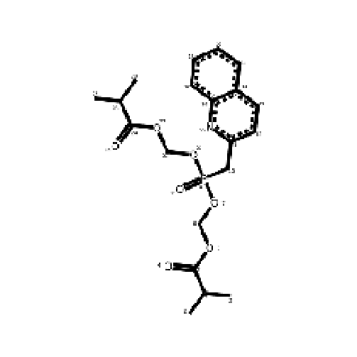 CC(C)C(=O)OCOP(=O)(Cc1ccc2ccccc2n1)OCOC(=O)C(C)C